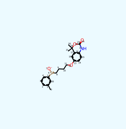 Cc1cccc([S+]([O-])CCCCOc2ccc3c(c2)C(C)(C)OC(=O)N3)c1